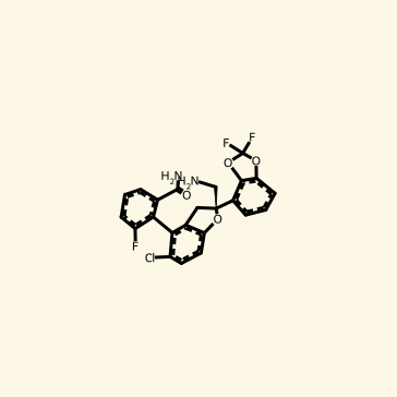 NC[C@]1(c2cccc3c2OC(F)(F)O3)Cc2c(ccc(Cl)c2-c2c(F)cccc2C(N)=O)O1